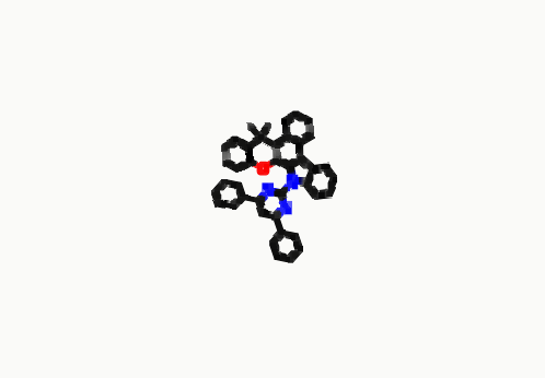 CC1(C)c2ccccc2Oc2c1c1ccccc1c1c3ccccc3n(-c3nc(-c4ccccc4)cc(-c4ccccc4)n3)c21